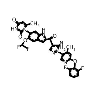 Cc1cc(Oc2c(F)cccc2F)ncc1-n1ncc(C(=O)c2cc3cc(OC(F)F)c(-n4c(C)cc(=O)[nH]c4=O)cc3[nH]2)c1N